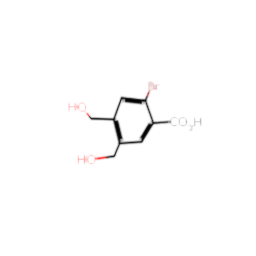 O=C(O)c1cc(CO)c(CO)cc1Br